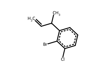 C=C[C](C)c1cccc(Cl)c1Br